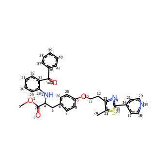 COC(=O)C(Cc1ccc(OCCc2nc(-c3ccncc3)sc2C)cc1)Nc1ccccc1C(=O)c1ccccc1